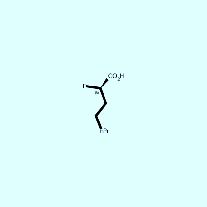 CCCCC[C@@H](F)C(=O)O